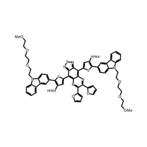 CCCCCCc1cc(-c2c3nsnc3c(-c3cc(CCCCCC)c(-c4ccc5c(c4)c4ccccc4n5CCOCCOCCOC)s3)c3nc(-c4ccco4)c(-c4ccco4)nc23)sc1-c1ccc2c(c1)c1ccccc1n2CCOCCOCCOC